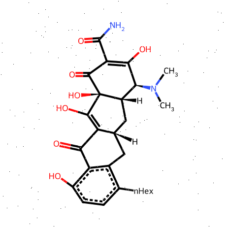 CCCCCCc1ccc(O)c2c1C[C@H]1C[C@H]3[C@H](N(C)C)C(O)=C(C(N)=O)C(=O)[C@@]3(O)C(O)=C1C2=O